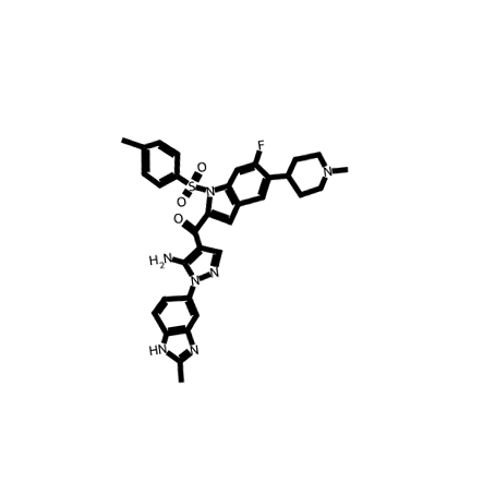 Cc1ccc(S(=O)(=O)n2c(C(=O)c3cnn(-c4ccc5[nH]c(C)nc5c4)c3N)cc3cc(C4CCN(C)CC4)c(F)cc32)cc1